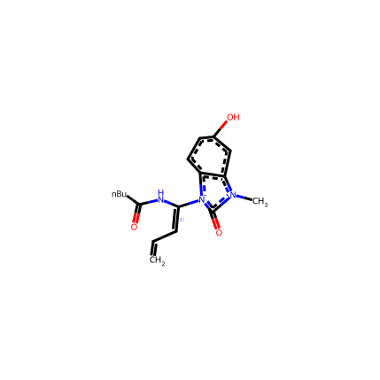 C=C/C=C(\NC(=O)CCCC)n1c(=O)n(C)c2cc(O)ccc21